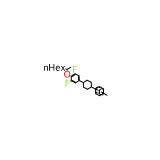 CCCCCCC(C)Oc1c(F)cc(C2CCC(C34CCC(C)(CC3)CC4)CC2)cc1F